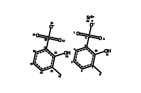 Cc1cccc(S(=O)(=O)[O-])c1O.Cc1cccc(S(=O)(=O)[O-])c1O.[Sr+2]